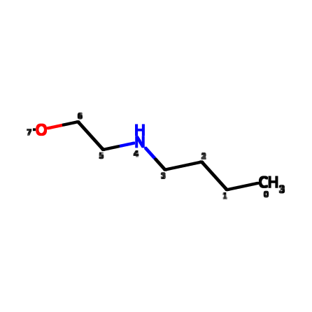 CCCCNCC[O]